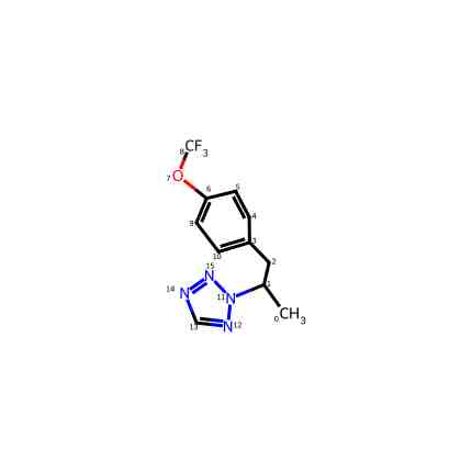 CC(Cc1ccc(OC(F)(F)F)cc1)n1ncnn1